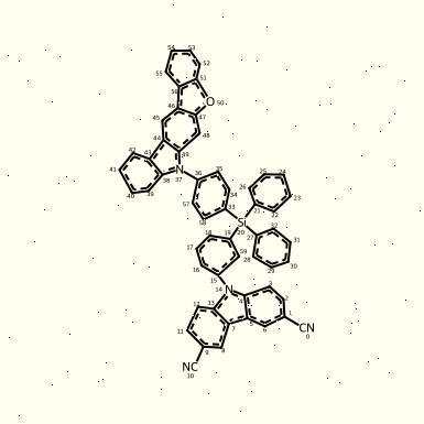 N#Cc1ccc2c(c1)c1cc(C#N)ccc1n2-c1cccc([Si](c2ccccc2)(c2ccccc2)c2ccc(-n3c4ccccc4c4cc5c(cc43)oc3ccccc35)cc2)c1